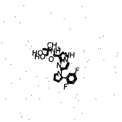 CC(CO)(CO)NC(=O)C1=C2N=C(N3CCC[C@@H]3c3cc(F)ccc3F)C=CN2NC1